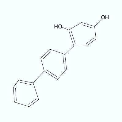 Oc1ccc(-c2ccc(-c3ccccc3)cc2)c(O)c1